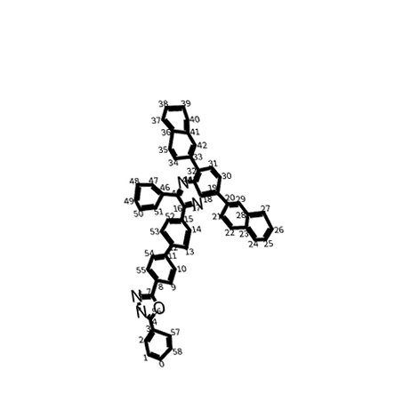 c1ccc(-c2nnc(-c3ccc(-c4ccc(-c5nc6c(-c7ccc8ccccc8c7)ccc(-c7ccc8ccccc8c7)c6nc5-c5ccccc5)cc4)cc3)o2)cc1